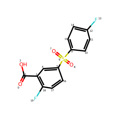 O=C(O)c1cc(S(=O)(=O)c2ccc(F)cc2)ccc1F